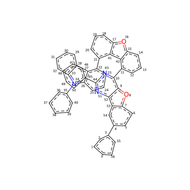 c1ccc(-c2ccc3oc4c(-c5cccc6oc7cccc(-c8cccc9c8c8ccccc8n9-c8ccccc8)c7c56)nc(-c5ccccc5)nc4c3c2)cc1